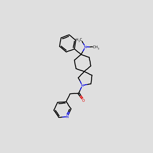 CN(C)C1(c2ccccc2)CCC2(CCN(C(=O)Cc3cccnc3)C2)CC1